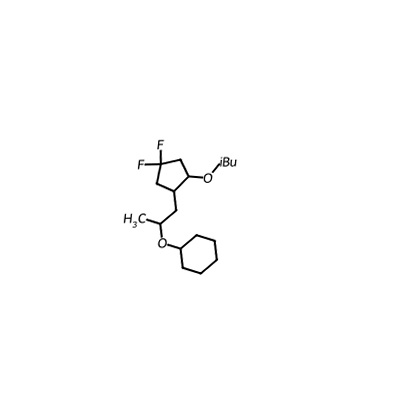 CCC(C)OC1CC(F)(F)CC1CC(C)OC1CCCCC1